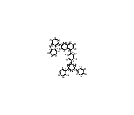 c1ccc(-c2nc(-c3ccccc3)nc(-c3ccc(-c4cccc5nc(-c6nccc7sc8ccccc8c67)ccc45)cc3)n2)cc1